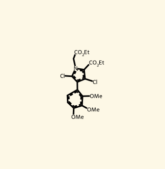 CCOC(=O)Cn1c(Cl)c(-c2ccc(OC)c(OC)c2OC)c(Cl)c1C(=O)OCC